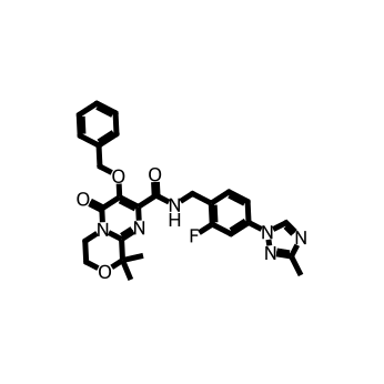 Cc1ncn(-c2ccc(CNC(=O)c3nc4n(c(=O)c3OCc3ccccc3)CCOC4(C)C)c(F)c2)n1